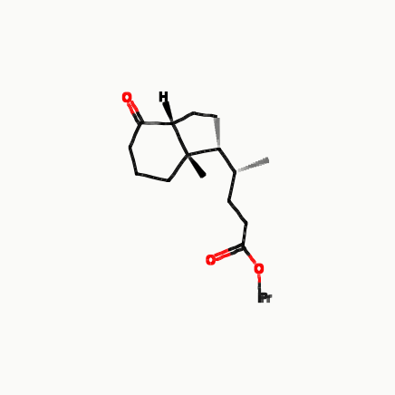 CC(C)OC(=O)CC[C@@H](C)[C@H]1CC[C@H]2C(=O)CCC[C@@]12C